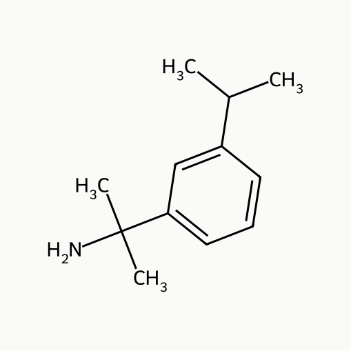 CC(C)c1cccc(C(C)(C)N)c1